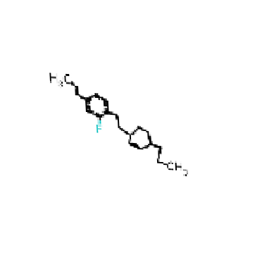 CCCc1ccc(CCC2C=CC(CCC)CC2)c(F)c1